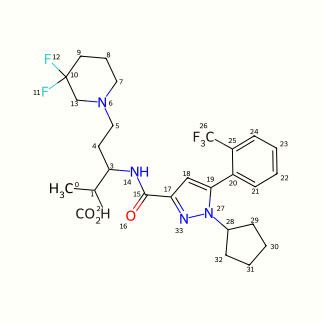 CC(C(=O)O)C(CCN1CCCC(F)(F)C1)NC(=O)c1cc(-c2ccccc2C(F)(F)F)n(C2CCCC2)n1